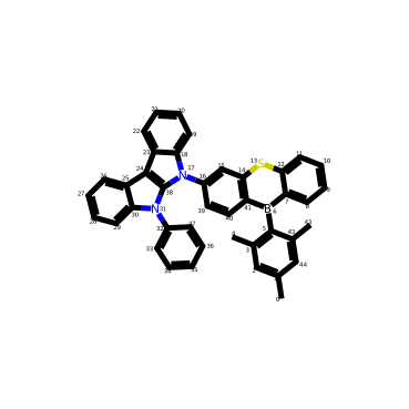 Cc1cc(C)c(B2c3ccccc3Sc3cc(-n4c5ccccc5c5c6ccccc6n(-c6ccccc6)c54)ccc32)c(C)c1